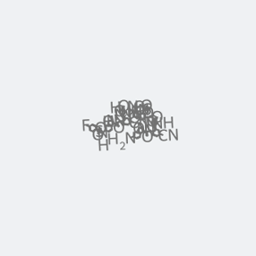 CS(=O)(=O)Nc1cccc2onc(C(N)=O)c12.N#Cc1ccc(NC(=O)c2noc3cc(N)ccc23)c(-c2noc(=O)[nH]2)c1.N#Cc1ccc(NC(=O)c2noc3cc(NS(=O)(=O)c4ccc(F)cc4)ccc23)c(-c2noc(=O)[nH]2)c1